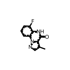 Cc1cnn2c1c(=O)[nH]c1c(F)cccc12